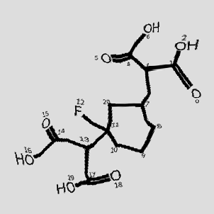 O=C(O)C(C(=O)O)C1CCCC(F)(C(C(=O)O)C(=O)O)C1